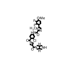 COc1ccc(-c2cnc(C(=O)Nc3ccc(C(=O)N4CC(C(=O)N5C[C@H]6CNC[C@H]6C5)C4)c(Cl)c3)n2C)c(F)c1F